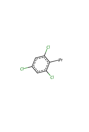 CC(C)c1c(Cl)cc(Cl)cc1Cl